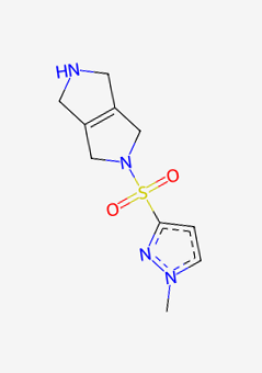 Cn1ccc(S(=O)(=O)N2CC3=C(CNC3)C2)n1